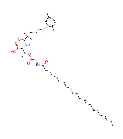 CCC=CCC=CCC=CCC=CCC=CCC=CCCC(=O)NCC(=O)OC(C)C(NC(=O)C(C)(C)CCCOc1cc(C)ccc1C)C(=O)OC